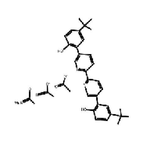 CC(=O)[O-].CC(=O)[O-].CC(=O)[O-].CC(C)(C)c1ccc(O)c(-c2ccc(-c3ccc(-c4cc(C(C)(C)C)ccc4O)cn3)nc2)c1.[Mn+3]